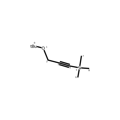 CC(C)(C)OCC#C[Si](C)(C)C